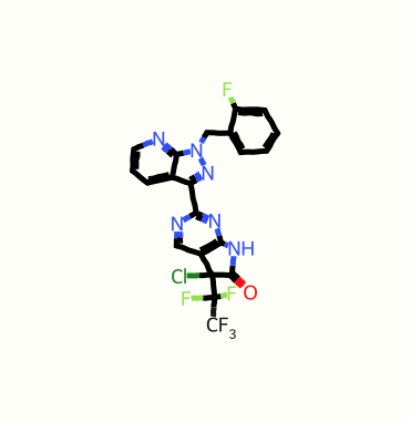 O=C1Nc2nc(-c3nn(Cc4ccccc4F)c4ncccc34)ncc2C1(Cl)C(F)(F)C(F)(F)F